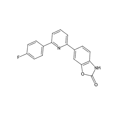 O=c1[nH]c2ccc(-c3cccc(-c4ccc(F)cc4)n3)cc2o1